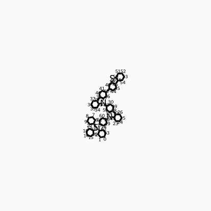 c1ccc([Si](c2ccccc2)(c2ccccc2)c2ccc(-n3c4ccccc4c4ccc(-n5c6ccccc6c6ccc(-c7ccc8c(c7)sc7ccccc78)cc65)cc43)cc2)cc1